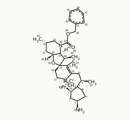 CCC[C@@H]1C[C@H](N)CC[C@]1(C)[C@H](C)CC1=C(C)[C@]2(CC[C@H]1C)O[C@@H]1C[C@H](C)CN(C(=O)OCc3ccccc3)[C@H]1[C@H]2C